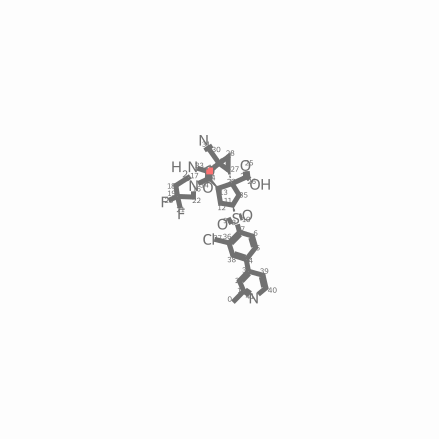 Cc1cc(-c2ccc(S(=O)(=O)[C@@H]3C[C@@H](C(=O)N4CCC(F)(F)C4)[C@](C(=O)O)(C4CC4(C#N)C(N)=O)C3)c(Cl)c2)ccn1